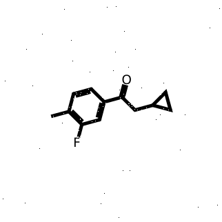 Cc1ccc(C(=O)CC2CC2)cc1F